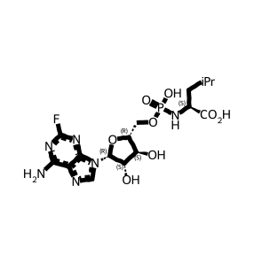 CC(C)C[C@H](NP(=O)(O)OC[C@H]1O[C@@H](n2cnc3c(N)nc(F)nc32)[C@@H](O)[C@@H]1O)C(=O)O